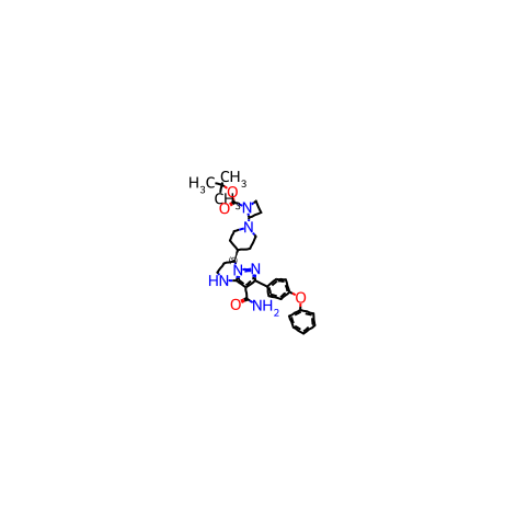 CC(C)(C)OC(=O)N1CCC1N1CCC([C@@H]2CCNc3c(C(N)=O)c(-c4ccc(Oc5ccccc5)cc4)nn32)CC1